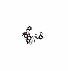 C=C(C)[C@]12C[C@@H](C)[C@@]34O[C@](Cc5ccccc5)(OC1[C@@H]3C=C(COC(=O)Cc1ccc(OC)c(OC)c1)C[C@]1(O)C(=O)C(C)=C[C@@H]41)O2